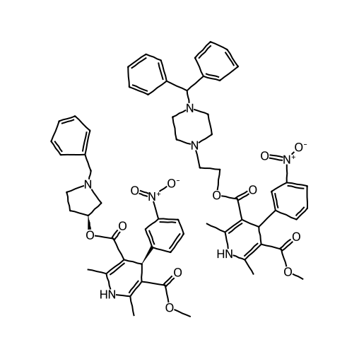 COC(=O)C1=C(C)NC(C)=C(C(=O)OCCN2CCN(C(c3ccccc3)c3ccccc3)CC2)C1c1cccc([N+](=O)[O-])c1.COC(=O)C1=C(C)NC(C)=C(C(=O)O[C@H]2CCN(Cc3ccccc3)C2)[C@H]1c1cccc([N+](=O)[O-])c1